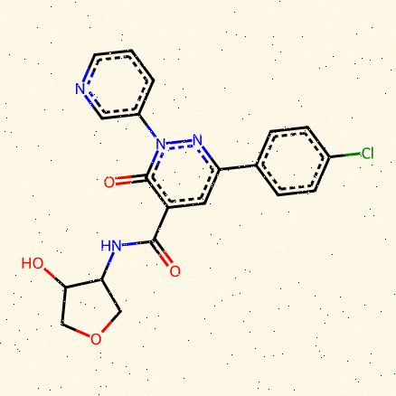 O=C(NC1COCC1O)c1cc(-c2ccc(Cl)cc2)nn(-c2cccnc2)c1=O